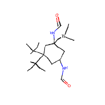 [CH3][Ti]([CH3])[C]1(NC=O)CC(NC=O)CC(C(C)(C)C)(C(C)(C)C)C1